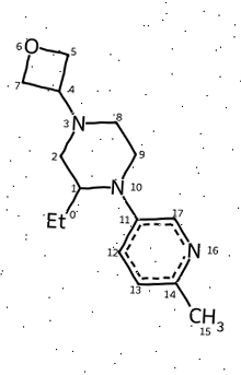 CCC1CN(C2COC2)CCN1c1ccc(C)nc1